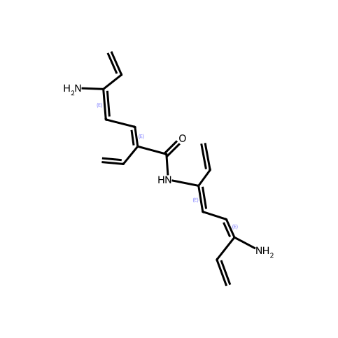 C=C/C(N)=C\C=C(/C=C)NC(=O)/C(C=C)=C/C=C(/N)C=C